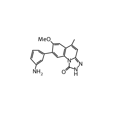 COc1cc2c(C)cc3n[nH]c(=O)n3c2cc1-c1cccc(N)c1